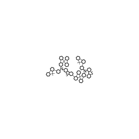 CC1(C)c2ccccc2-c2cccc(-c3cccc(N(c4ccc5c(c4)C4(c6ccccc6-c6ccccc64)c4ccccc4-5)c4ccc5c(c4)sc4cc(-c6cccc7c6-c6ccccc6C76c7ccccc7-c7ccc(N(c8cccc(-c9cccc%10c9C(C)(C)c9ccccc9-%10)c8)c8cccc9sc%10ccccc%10c89)cc76)ccc45)c3)c21